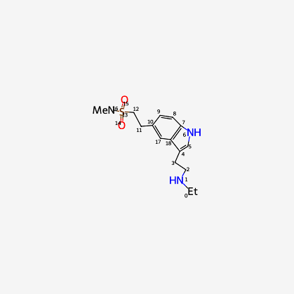 CCNCCc1c[nH]c2ccc(CCS(=O)(=O)NC)cc12